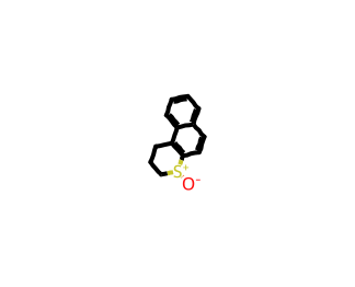 [O-][S+]1CCCc2c1ccc1ccccc21